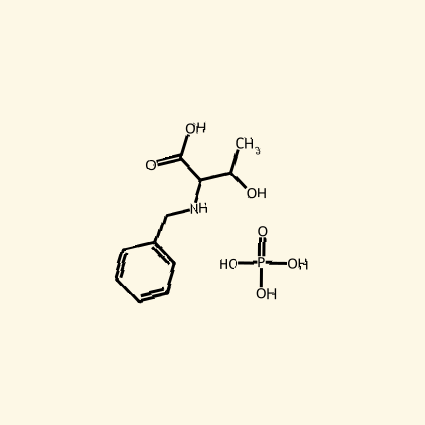 CC(O)C(NCc1ccccc1)C(=O)O.O=P(O)(O)O